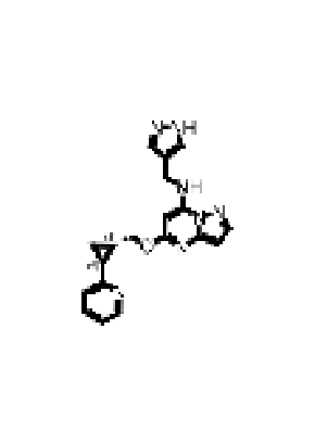 c1ccc([C@H]2C[C@@H]2COc2cc(NCc3cn[nH]c3)n3nccc3n2)nc1